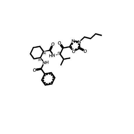 CCCCn1nc(C(=O)[C@@H](NC(=O)[C@@H]2CCCC[C@@H]2NC(=O)c2ccccc2)C(C)C)oc1=O